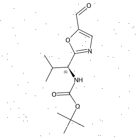 CC(C)[C@H](NC(=O)OC(C)(C)C)c1ncc(C=O)o1